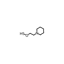 SOCCN1CCCCC1